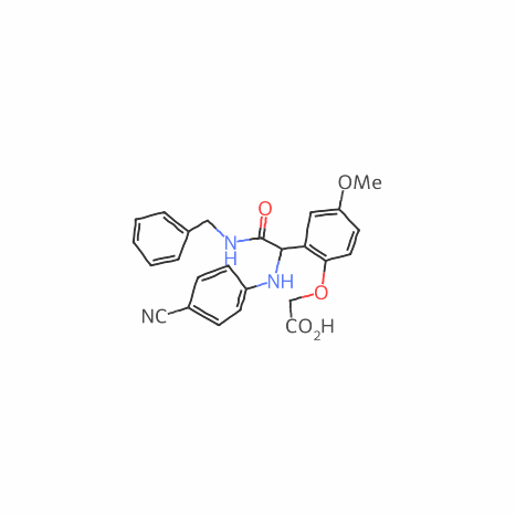 COc1ccc(OCC(=O)O)c(C(Nc2ccc(C#N)cc2)C(=O)NCc2ccccc2)c1